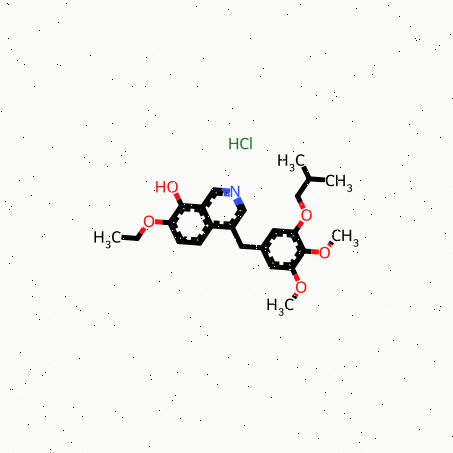 CCOc1ccc2c(Cc3cc(OC)c(OC)c(OCC(C)C)c3)cncc2c1O.Cl